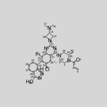 C=CC(=O)N1C[C@H](C)N(c2nc(N3CC(N(C)C)C3)nc3c(F)c(-c4cccc5c(O)n[nH]c45)c(Cl)cc23)C[C@H]1C